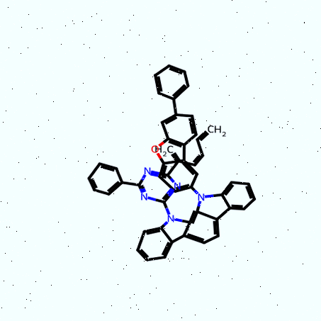 C=C/C=C\C(=C)c1nc(-c2ccccc2)nc(-n2c3ccccc3c3ccc4c5ccccc5n(-c5ccc6oc7cc(-c8ccccc8)ccc7c6c5)c4c32)n1